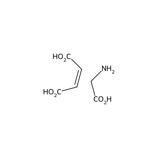 NCC(=O)O.O=C(O)/C=C\C(=O)O